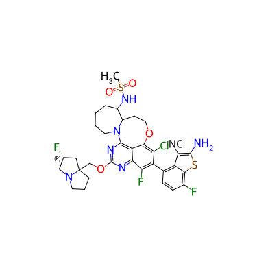 CS(=O)(=O)NC1CCCCN2c3nc(OCC45CCCN4C[C@H](F)C5)nc4c(F)c(-c5ccc(F)c6sc(N)c(C#N)c56)c(Cl)c(c34)OCCC12